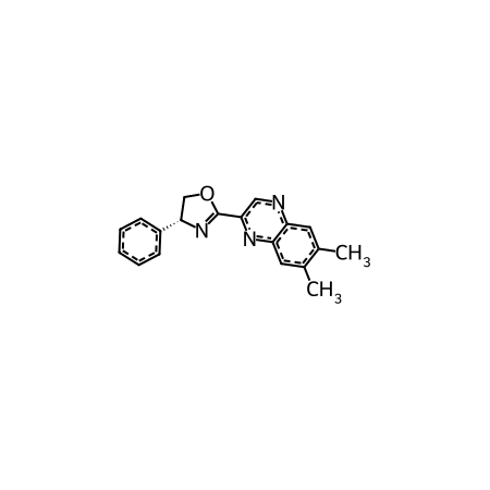 Cc1cc2ncc(C3=N[C@H](c4ccccc4)CO3)nc2cc1C